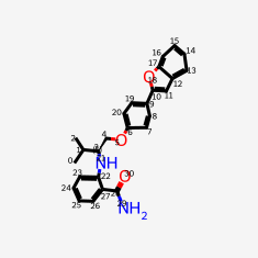 CC(C)[C@@H](COc1ccc(-c2cc3ccccc3o2)cc1)Nc1ccccc1C(N)=O